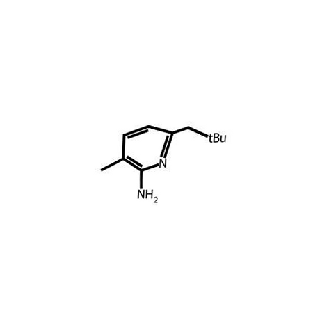 Cc1ccc(CC(C)(C)C)nc1N